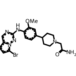 COc1cc(C2CCN(CC(N)=O)CC2)ccc1Nc1ncc2ccc(Br)n2n1